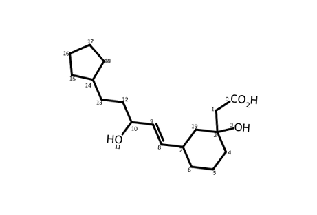 O=C(O)CC1(O)CCCC(/C=C/C(O)CCC2CCCC2)C1